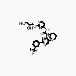 O=C(Nc1ccnc(OC[C@H](O)CO)n1)N1c2nc(-c3cccc(C(F)(F)F)c3)ncc2N2CCCC1C2